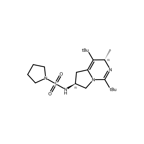 C[C@@H]1N=C(C(C)(C)C)N2C[C@@H](NS(=O)(=O)N3CCCC3)CC2=C1C(C)(C)C